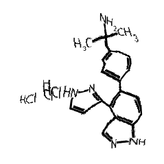 CC(C)(N)c1ccc(-c2ccc3[nH]ncc3c2-c2cc[nH]n2)cc1.Cl.Cl.Cl